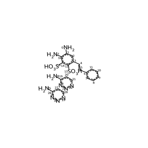 Nc1cc(C=Cc2ccccc2)c(S(=O)(=O)O)c(S(=O)(=O)O)c1N.Nc1ccnnn1.Nc1ccnnn1